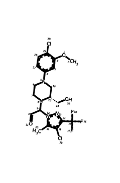 COc1cc(N2CCN(C(C=O)n3nc(C(F)(F)F)c(Cl)c3C)[C@@H](CO)C2)ccc1Cl